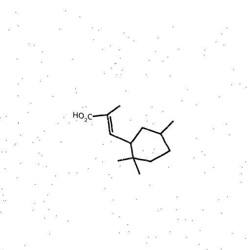 C/C(=C\C1CC(C)CCC1(C)C)C(=O)O